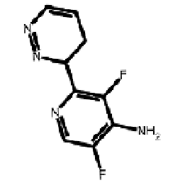 Nc1c(F)cnc(C2CC=CN=N2)c1F